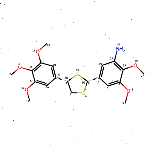 COc1cc([C@@H]2SC[C@H](c3cc(OC)c(OC)c(OC)c3)S2)cc(N)c1OC